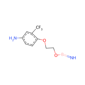 N=BOCCOc1ccc(N)cc1C(F)(F)F